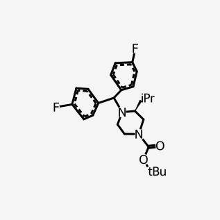 CC(C)[C@H]1CN(C(=O)OC(C)(C)C)CCN1C(c1ccc(F)cc1)c1ccc(F)cc1